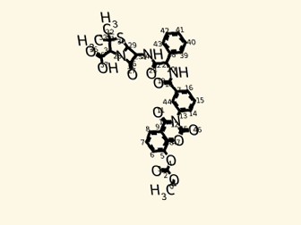 COC(=O)Oc1cccc2c(=O)n(-c3cccc(C(=O)NC(C(=O)NC4C(=O)N5C4SC(C)(C)C5C(=O)O)c4ccccc4)c3)c(=O)oc12